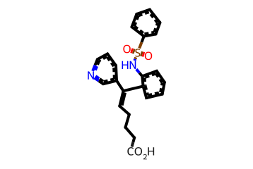 O=C(O)CCCC=C(c1cccnc1)c1ccccc1NS(=O)(=O)c1ccccc1